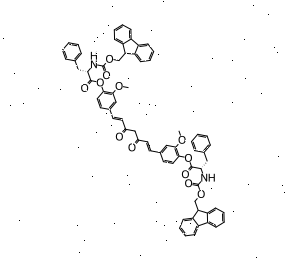 COc1cc(/C=C/C(=O)CC(=O)/C=C/c2ccc(OC(=O)[C@H](Cc3ccccc3)NC(=O)OCC3c4ccccc4-c4ccccc43)c(OC)c2)ccc1OC(=O)[C@H](Cc1ccccc1)NC(=O)OCC1c2ccccc2-c2ccccc21